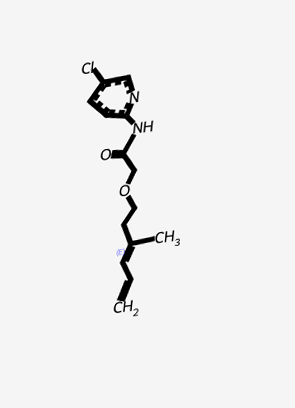 C=C/C=C(\C)CCOCC(=O)Nc1ccc(Cl)cn1